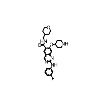 O=C(NCC1CCOCC1)c1cc2cnc(Nc3cccc(F)c3)nc2cc1OC1CCNCC1